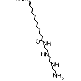 CCCCCCC=CC=CCCCCCCCC(=O)NCCNCCNCCN